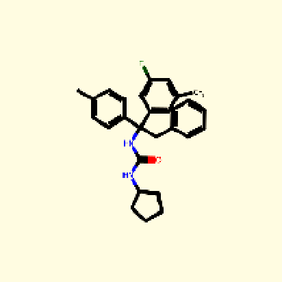 Cc1ccc(C(Cc2ccccc2)(NC(=O)NC2CCCC2)c2cc(F)cc(C(F)(F)F)c2)cc1